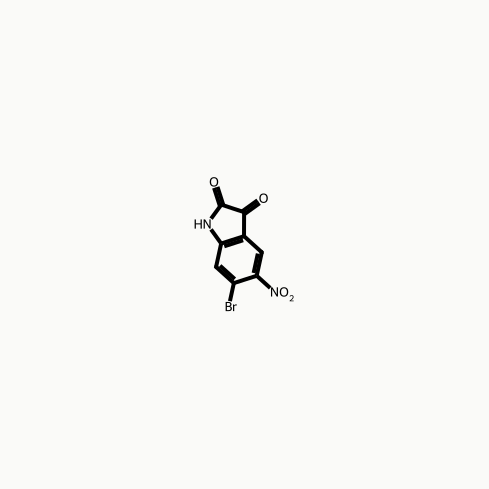 O=C1Nc2cc(Br)c([N+](=O)[O-])cc2C1=O